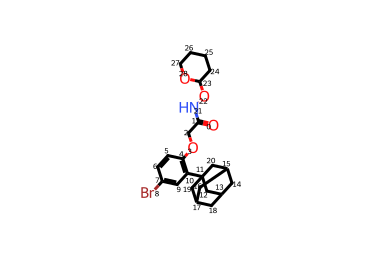 O=C(COc1ccc(Br)cc1C12CC3CC(CC(C3)C1)C2)NOC1CCCCO1